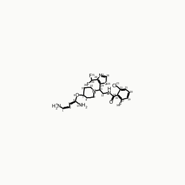 N/C=C\C=C(/N)OC1CCN(C(CNC(=O)c2c(F)cccc2Cl)c2scnc2C(F)F)CC1